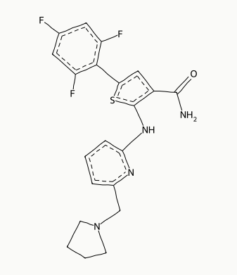 NC(=O)c1cc(-c2c(F)cc(F)cc2F)sc1Nc1cccc(CN2CCCC2)n1